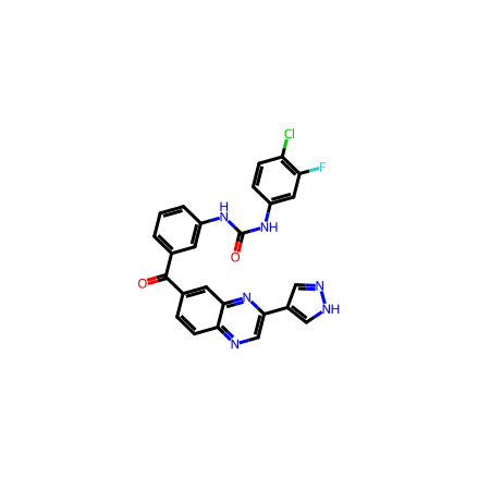 O=C(Nc1cccc(C(=O)c2ccc3ncc(-c4cn[nH]c4)nc3c2)c1)Nc1ccc(Cl)c(F)c1